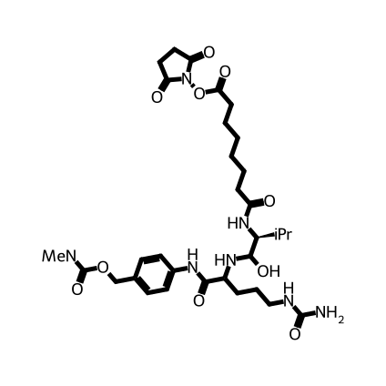 CNC(=O)OCc1ccc(NC(=O)C(CCCNC(N)=O)NC(O)[C@@H](NC(=O)CCCCCCC(=O)ON2C(=O)CCC2=O)C(C)C)cc1